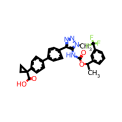 CC(OC(=O)Nc1c(-c2ccc(-c3ccc(C4(C(=O)O)CC4)cc3)cc2)nnn1C)c1cccc(C(F)(F)F)c1